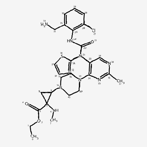 CCOC(=O)C1(NC)CC1N1CCN(c2nc(C)ncc2N(C(=O)Nc2c(Cl)cccc2CN)c2nccs2)CC1